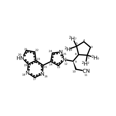 [2H]C1([2H])CCC([2H])([2H])C1[C@@H](CC#N)n1cc(-c2ncnc3[nH]ccc23)cn1